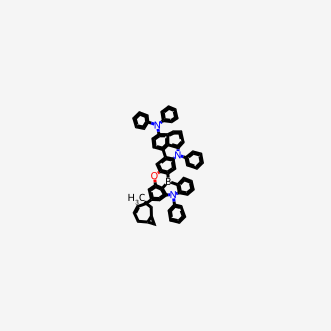 CC1(c2cc3c4c(c2)N(c2ccccc2)c2ccccc2B4c2cc4c(cc2O3)-c2ccc(N(c3ccccc3)c3ccccc3)c3cccc(c23)N4c2ccccc2)C=CCC2CC2C1